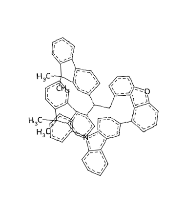 CC1(C)c2ccccc2-c2ccc(C(Cc3cccc4oc5cccc(-c6ccc7c(c6)c6ccccc6n7-c6ccccc6)c5c34)c3cccc4c3-c3ccccc3C4(C)C)cc21